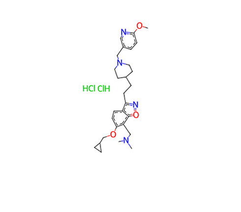 COc1ccc(CN2CCC(CCc3noc4c(CN(C)C)c(OCC5CC5)ccc34)CC2)cn1.Cl.Cl